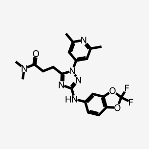 Cc1cc(-n2nc(Nc3ccc4c(c3)OC(F)(F)O4)nc2CCC(=O)N(C)C)cc(C)n1